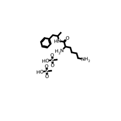 CC(Cc1ccccc1)NC(=O)C(N)CCCCN.CS(=O)(=O)O.CS(=O)(=O)O